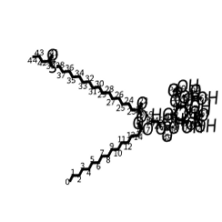 CCCCCCCCCCCCCCCC(=O)O[C@H](COC(=O)CCCCCCCCCCCCCCCCSC(=O)CCC)COP(=O)(O)OC1C(O)[C@@H](OP(=O)(O)O)C(OP(=O)(O)O)[C@@H](OP(=O)(O)O)[C@H]1O